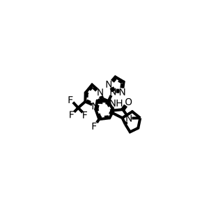 O=C(c1cc(F)ccc1-n1nccn1)N1C2CCC1C(CNc1nccc(C(F)(F)F)n1)C2